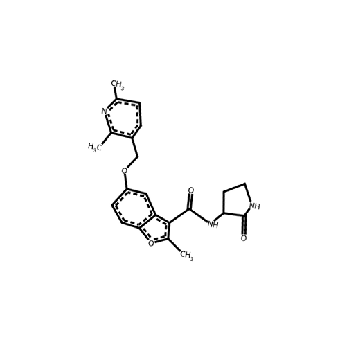 Cc1ccc(COc2ccc3oc(C)c(C(=O)NC4CCNC4=O)c3c2)c(C)n1